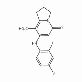 O=C(O)c1c(Nc2ccc(Br)cc2F)cc(=O)n2c1CCC2